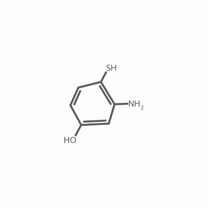 Nc1cc(O)ccc1S